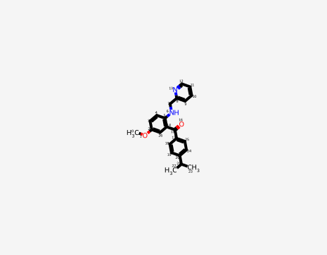 COc1ccc(NCc2ccccn2)c(C(=O)c2ccc(C(C)C)cc2)c1